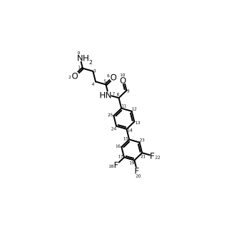 NC(=O)CCC(=O)NC(C=O)c1ccc(-c2cc(F)c(F)c(F)c2)cc1